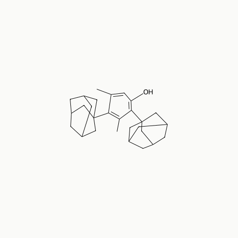 Cc1cc(O)c(C23CC4CC(CC(C4)C2)C3)c(C)c1C12CC3CC(CC(C3)C1)C2